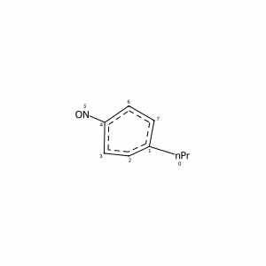 CCCc1ccc(N=O)cc1